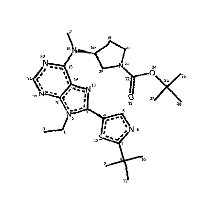 CCn1c(-c2cnc(C(C)(C)C)s2)nc2c(N(C)[C@H]3CCN(C(=O)OC(C)(C)C)C3)ncnc21